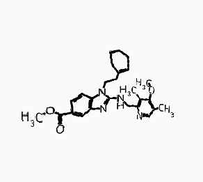 COC(=O)c1ccc2c(c1)nc(NCc1ncc(C)c(OC)c1C)n2CCC1=CCCCC1